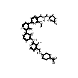 COc1nc(-c2ccnc(-c3cccc(Nc4nccc(CNC5CCC(C(=O)O)CC5)c4F)c3Cl)c2Cl)ccc1CNC[C@H]1CCC(=O)N1